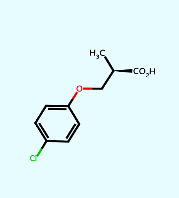 C[C@H](COc1ccc(Cl)cc1)C(=O)O